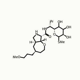 COCCC[C@@H]1CCO[C@@H]2[C@H](CN[C@@H]2C(=O)N[C@H](C(C)C)[C@H]2OC(SC)[C@H](O)C(O)C2O)C1